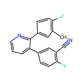 Cc1cc(-c2ncccc2-c2ccc(F)c(C#N)c2)ccc1F